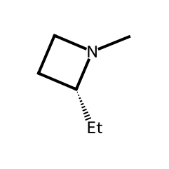 CC[C@@H]1CCN1C